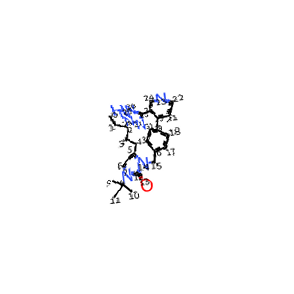 CCCCCc1cn(C(C)(C)C)c(=O)n1Cc1ccc(-c2ccncc2-c2nnn[nH]2)cc1